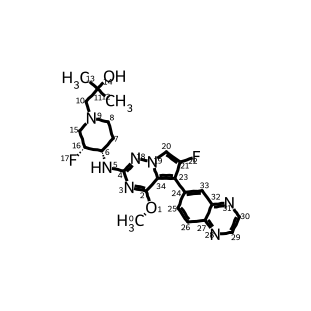 COc1nc(N[C@H]2CCN(CC(C)(C)O)C[C@H]2F)nn2cc(F)c(-c3ccc4nccnc4c3)c12